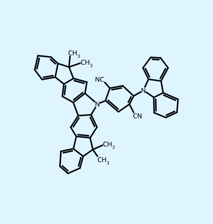 CC1(C)c2ccccc2-c2cc3c4cc5c(cc4n(-c4cc(C#N)c(-n6c7ccccc7c7ccccc76)cc4C#N)c3cc21)C(C)(C)c1ccccc1-5